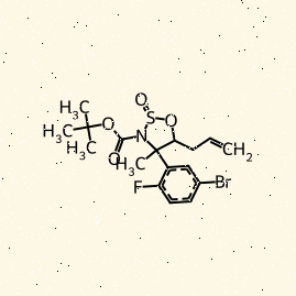 C=CCC1OS(=O)N(C(=O)OC(C)(C)C)C1(C)c1cc(Br)ccc1F